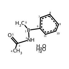 CB(NC(C)=O)c1ccccc1.O.O